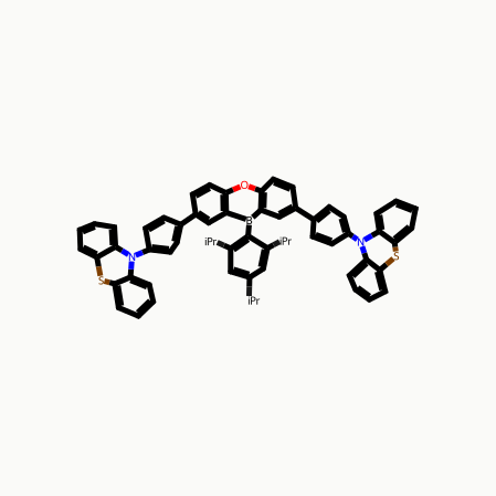 CC(C)c1cc(C(C)C)c(B2c3cc(-c4ccc(N5c6ccccc6Sc6ccccc65)cc4)ccc3Oc3ccc(-c4ccc(N5c6ccccc6Sc6ccccc65)cc4)cc32)c(C(C)C)c1